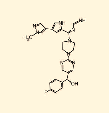 Cn1cc(-c2c[nH]c(/C(=N\C=N)N3CCN(c4ncc([C@@H](O)c5ccc(F)cc5)cn4)CC3)c2)cn1